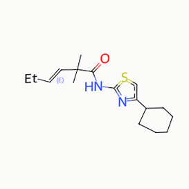 CC/C=C/C(C)(C)C(=O)Nc1nc(C2CCCCC2)cs1